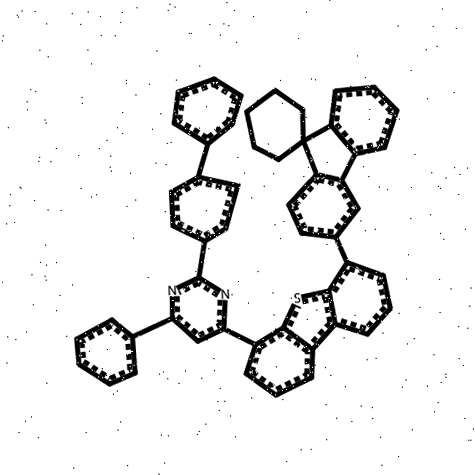 c1ccc(-c2ccc(-c3nc(-c4ccccc4)cc(-c4cccc5c4sc4c(-c6ccc7c(c6)-c6ccccc6C76CCCCC6)cccc45)n3)cc2)cc1